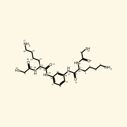 NCCCC[C@H](NC(=O)CS)C(=O)Nc1cccc(NC(=O)[C@H](CCCCN)NC(=O)CS)c1